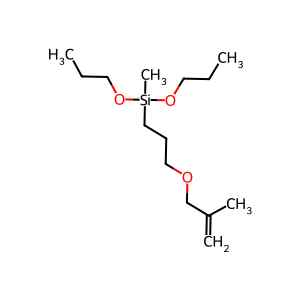 C=C(C)COCCC[Si](C)(OCCC)OCCC